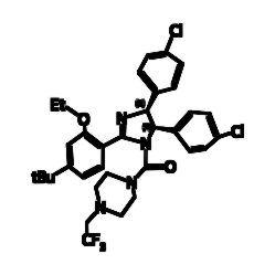 CCOc1cc(C(C)(C)C)ccc1C1=N[C@@H](c2ccc(Cl)cc2)[C@@H](c2ccc(Cl)cc2)N1C(=O)N1CCN(CC(F)(F)F)CC1